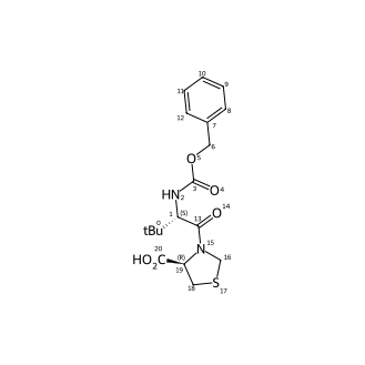 CC(C)(C)[C@H](NC(=O)OCc1ccccc1)C(=O)N1CSC[C@H]1C(=O)O